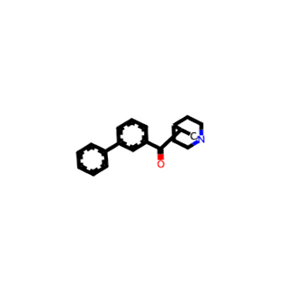 O=C(c1cccc(-c2ccccc2)c1)C1CN2CCC1CC2